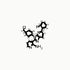 Nc1ncccc1-c1nc2ccc(-c3ccccc3F)nc2n1-c1ccc(CCl)cc1